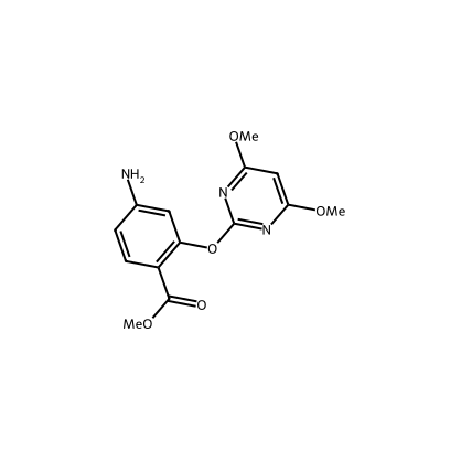 COC(=O)c1ccc(N)cc1Oc1nc(OC)cc(OC)n1